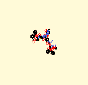 CCN1CCN(C(=O)N[C@@H](C(=O)N[C@@H]2C(=O)N3C(C(=O)OC(c4ccccc4)c4ccccc4)=C(COC(C)=O)CS[C@H]23)c2ccc(NC(=O)OCC(NC(=O)OC(C)(C)C)C(=O)OC(c3ccccc3)c3ccccc3)cc2)C(=O)C1=O